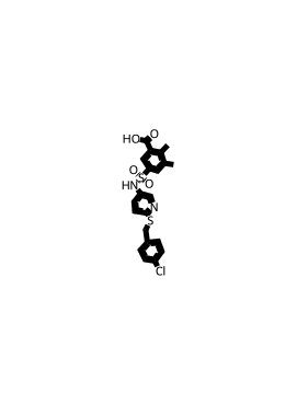 Cc1cc(S(=O)(=O)Nc2ccc(SCc3ccc(Cl)cc3)nc2)cc(C(=O)O)c1C